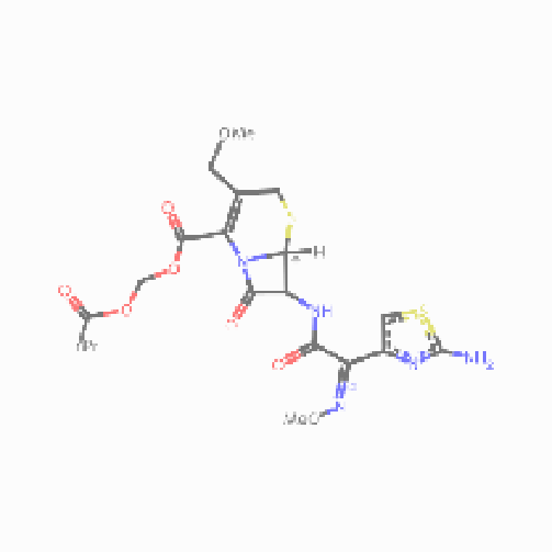 CCCC(=O)OCOC(=O)C1=C(COC)CS[C@@H]2C(NC(=O)/C(=N\OC)c3csc(N)n3)C(=O)N12